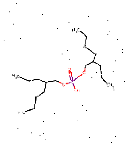 CCCCC(CCC)COP(=O)(O)OCC(CCC)CCCC